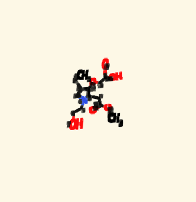 CCc1cn(CCO)c(CC(=O)OC)c1OCC(=O)O